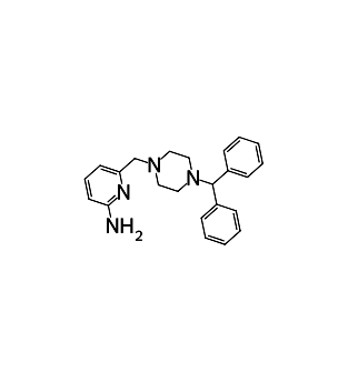 Nc1cccc(CN2CCN(C(c3ccccc3)c3ccccc3)CC2)n1